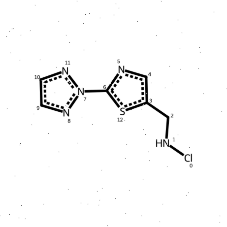 ClNCc1cnc(-n2nccn2)s1